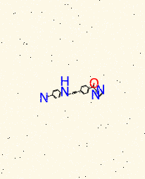 Cn1ccnc1C(=O)c1ccc(C#CCNc2ccc(C#N)cc2)cc1